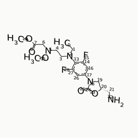 CCN(CCN(CC(=O)OC)OC)c1c(F)cc(N2C[C@H](CN)OC2=O)cc1F